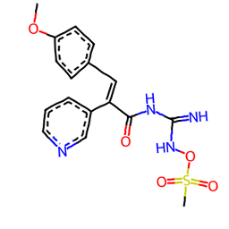 COc1ccc(/C=C(/C(=O)NC(=N)NOS(C)(=O)=O)c2cccnc2)cc1